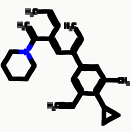 C=Cc1cc(C(/C=C(\C=C/C)C(=C)N2CCCCC2)=C/C)cc(C)c1C1CC1